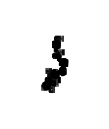 CCn1nc(-c2cccc(-c3cccc(CCC(=O)NCc4ccc(O)cc4)c3)c2)cc(NC(=O)Nc2c(Cl)cncc2Cl)c1=O